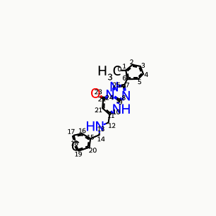 Cc1ccccc1-c1nc2[nH]c(CNCc3ccccc3)cc(=O)n2n1